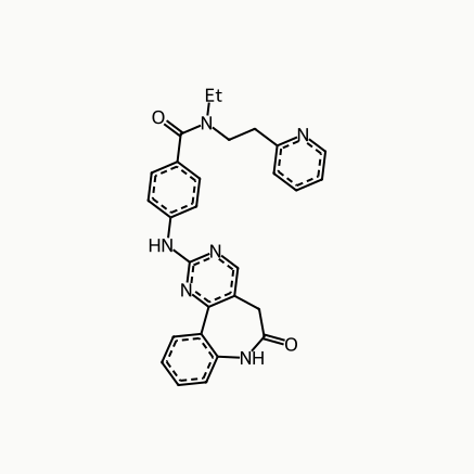 CCN(CCc1ccccn1)C(=O)c1ccc(Nc2ncc3c(n2)-c2ccccc2NC(=O)C3)cc1